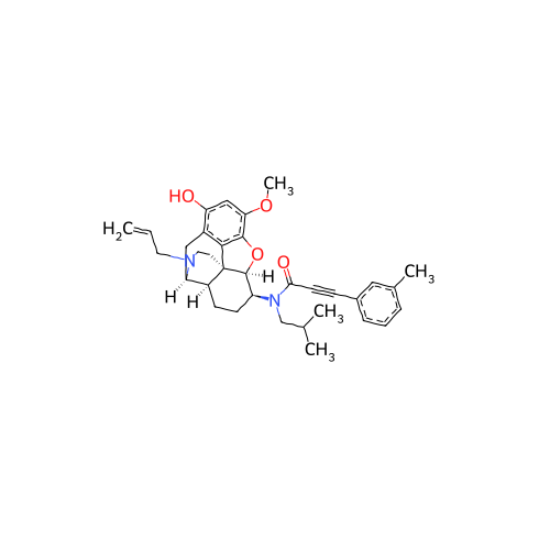 C=CCN1CC[C@]23c4c5c(O)cc(OC)c4O[C@H]2[C@@H](N(CC(C)C)C(=O)C#Cc2cccc(C)c2)CC[C@H]3[C@H]1C5